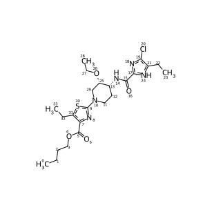 CCCCOC(=O)c1nc(N2CC[C@@H](NC(=O)c3nc(Cl)c(CC)[nH]3)[C@@H](OCC)C2)sc1CC